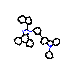 c1ccc(-n2c3ccccc3c3cc(-c4cccc(-n5c(-c6cccc7ccccc67)nc6c7ccccc7c7ccccc7c65)c4)ccc32)cc1